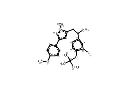 CNC(Cc1cc(-c2ccc(OC(F)(F)F)cc2)nn1C)c1ccc(OC(C)(C)C(=O)O)c(Cl)c1